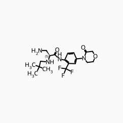 CC(C)(C)CN[C@@H](CN)C(=O)Nc1ccc(N2CCOCC2=O)cc1C(F)(F)F